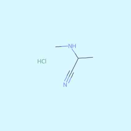 CNC(C)C#N.Cl